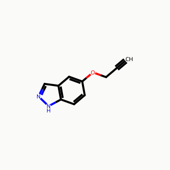 C#CCOc1ccc2[nH]ncc2c1